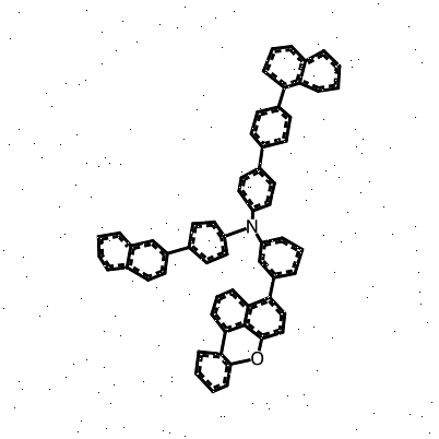 c1cc(-c2ccc3c4c(cccc24)-c2ccccc2O3)cc(N(c2ccc(-c3ccc(-c4cccc5ccccc45)cc3)cc2)c2ccc(-c3ccc4ccccc4c3)cc2)c1